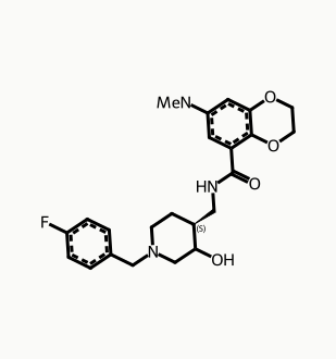 CNc1cc2c(c(C(=O)NC[C@@H]3CCN(Cc4ccc(F)cc4)CC3O)c1)OCCO2